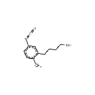 Cc1ccc(N=C=O)cc1CCCCO